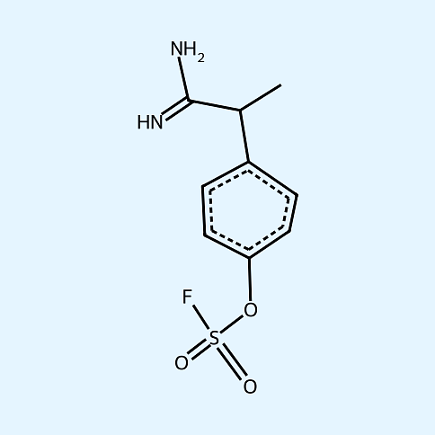 CC(C(=N)N)c1ccc(OS(=O)(=O)F)cc1